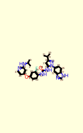 CC(C)Nc1cc(Oc2ccc(NC(=O)Nc3cc(C(C)C)nn3-c3ccc4[nH]cnc4c3)c(F)c2)ccn1